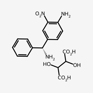 Nc1ccc([C@H](N)c2ccccc2)cc1[N+](=O)[O-].O=C(O)C(O)C(O)C(=O)O